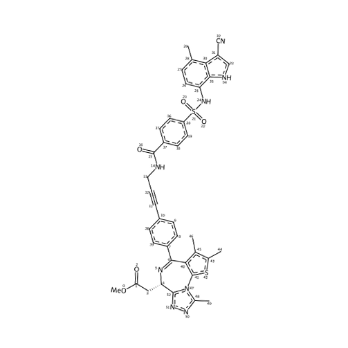 COC(=O)C[C@@H]1N=C(c2ccc(C#CCNC(=O)c3ccc(S(=O)(=O)Nc4ccc(C)c5c(C#N)c[nH]c45)cc3)cc2)c2c(sc(C)c2C)-n2c(C)nnc21